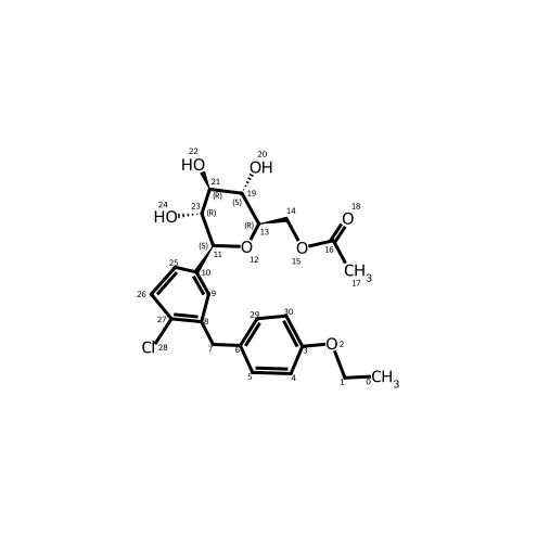 CCOc1ccc(Cc2cc([C@@H]3O[C@H](COC(C)=O)[C@@H](O)[C@H](O)[C@H]3O)ccc2Cl)cc1